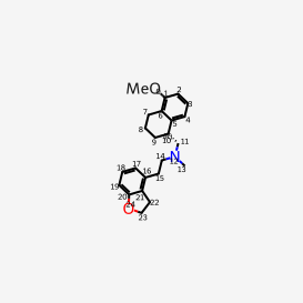 COc1cccc2c1CCC[C@H]2CN(C)CCc1cccc2c1CCO2